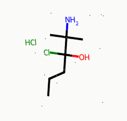 CCCC(O)(Cl)C(C)(C)N.Cl